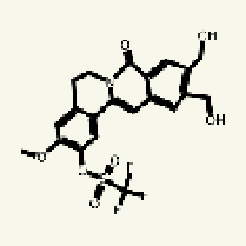 COc1cc2c(cc1OS(=O)(=O)C(F)(F)F)-c1cc3cc(CO)c(CO)cc3c(=O)n1CC2